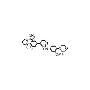 COc1cc(Nc2nccc(-c3ccc([N+]4(C)CCC[C@@H]4C(N)=O)cc3)n2)ccc1N1CCOCC1